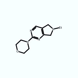 CCN1Cc2cnc(N3CCOCC3)nc2C1